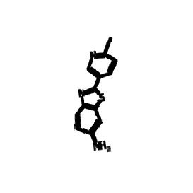 Cc1ccc(-c2nc3ccc(N)cc3s2)cn1